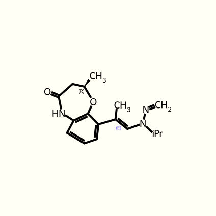 C=NN(/C=C(\C)c1cccc2c1O[C@H](C)CC(=O)N2)C(C)C